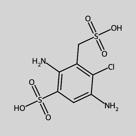 Nc1cc(S(=O)(=O)O)c(N)c(CS(=O)(=O)O)c1Cl